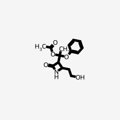 CC(=O)OC(C)(Oc1ccccc1)C1C(=O)NC1CCO